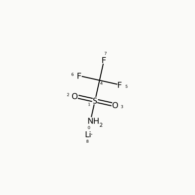 NS(=O)(=O)C(F)(F)F.[Li]